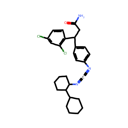 NC(=O)CC(c1ccc(N=C=NC2CCCCC2C2CCCCC2)cc1)c1ccc(Cl)cc1Cl